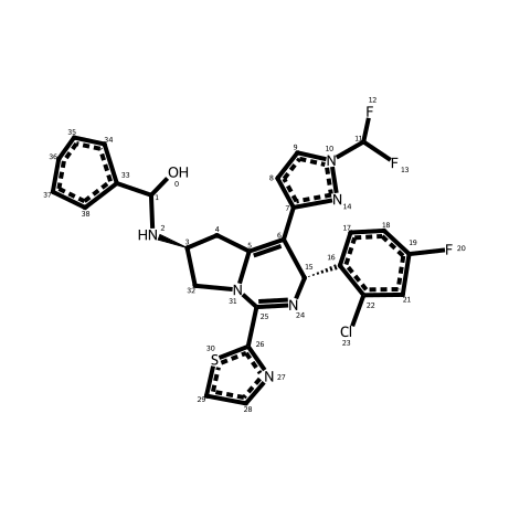 OC(N[C@H]1CC2=C(c3ccn(C(F)F)n3)[C@H](c3ccc(F)cc3Cl)N=C(c3nccs3)N2C1)c1ccccc1